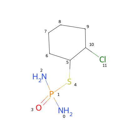 NP(N)(=O)SC1CCCCC1Cl